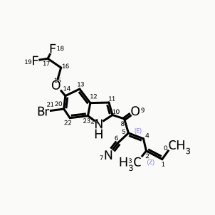 C/C=C(C)\C=C(/C#N)C(=O)c1cc2cc(OCC(F)F)c(Br)cc2[nH]1